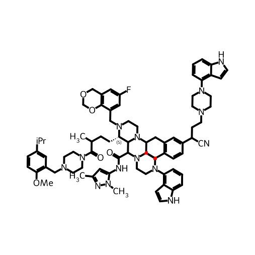 COc1ccc(C(C)C)cc1CN1CCN(C(=O)C(C)CC[C@H]2C(C(C(=O)Nc3cc(C)nn3C)N3CCN(c4cccc5[nH]ccc45)CC3)N(C3CCc4ccc(C(C#N)CCN5CCN(c6cccc7[nH]ccc67)CC5)cc4C3)CCN2Cc2cc(F)cc3c2OCOC3)CC1